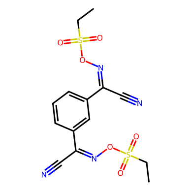 CCS(=O)(=O)O/N=C(/C#N)c1cccc(/C(C#N)=N\OS(=O)(=O)CC)c1